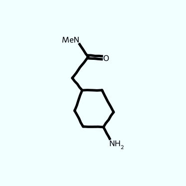 CNC(=O)CC1CCC(N)CC1